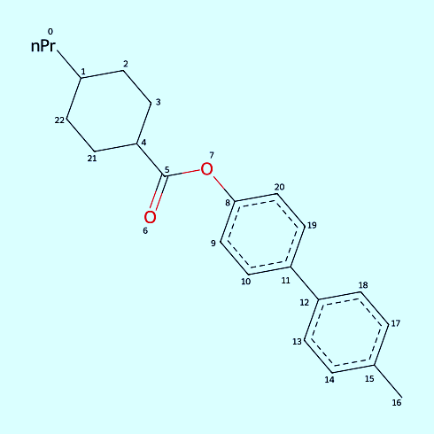 CCCC1CCC(C(=O)Oc2ccc(-c3ccc(C)cc3)cc2)CC1